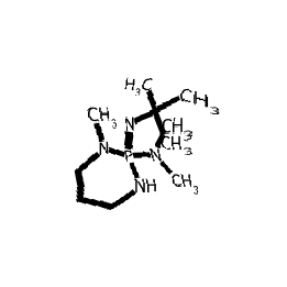 CN(C)P1(=NC(C)(C)C)NCCCN1C